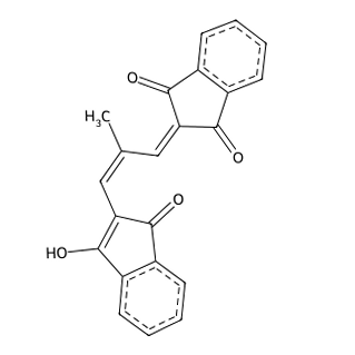 CC(=CC1=C(O)c2ccccc2C1=O)C=C1C(=O)c2ccccc2C1=O